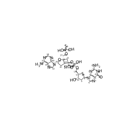 Nc1nc2c(ncn2[C@H]2C[C@H](O)[C@@H](COP(=O)(O)O[C@]3(O)C[C@]4(COP(O)(O)=S)O[C@@H](n5cnc6c(N)ncnc65)C[C@@H]43)S2)c(=O)[nH]1